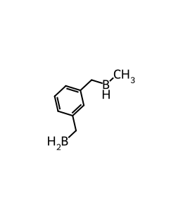 BCc1cccc(CBC)c1